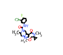 COCC1(N(C)C(=O)c2cnn3c2CN(C(=O)Nc2ccc(F)c(Cl)c2)C(C)C3)CC1